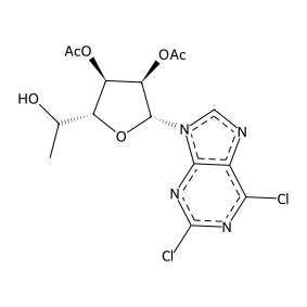 CC(=O)O[C@@H]1[C@H](OC(C)=O)[C@@H](C(C)O)O[C@H]1n1cnc2c(Cl)nc(Cl)nc21